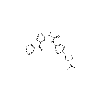 CC(C(=O)Nc1ccc(N2CCC(N(C)C)C2)cc1)c1cccc(C(=O)c2ccccc2)c1